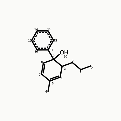 CCCC1C=C(C)C=CC1(O)c1ccccc1